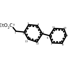 CCOC(=O)Cc1ccc(-c2ccccc2)cc1